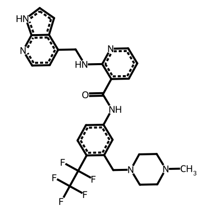 CN1CCN(Cc2cc(NC(=O)c3cccnc3NCc3ccnc4[nH]ccc34)ccc2C(F)(F)C(F)(F)F)CC1